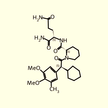 COc1cc([C@@H](C(=O)N2CCCC[C@H]2C(=O)N[C@@H](CCC(N)=O)C(N)=O)C2CCCCC2)cc(C)c1OC